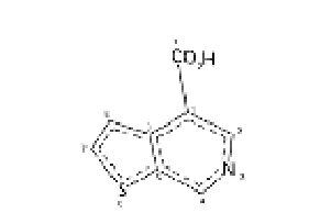 O=C(O)c1cncc2sccc12